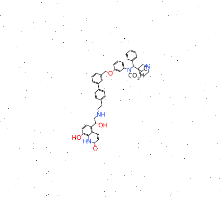 O=C(O)N(c1cccc(OCc2cccc(-c3ccc(CCNC[C@H](O)c4ccc(O)c5[nH]c(=O)ccc45)cc3)c2)c1)[C@@H](c1ccccc1)C1CN2CCC1CC2